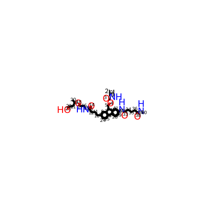 [2H]NC(=O)OCC1c2cc(CCCC(=O)NCCOC(C)CCO)ccc2-c2ccc(NC(=O)CCCC(=O)NC)cc21